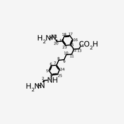 NN=CNc1ccc(CCCCC(CC(=O)O)c2cccc(C=NN)c2)cc1